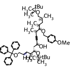 COc1ccc(CO[C@H]([C@H](C)C[C@@H](C)CO[Si](C)(C)C(C)(C)C)[C@@H](C)C#C[C@@H](O)C[C@H](O[Si](C)(C)C(C)(C)C)[C@@H](C)/C=C/COC(c2ccccc2)(c2ccccc2)c2ccccc2)cc1